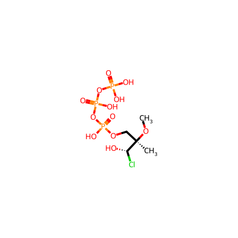 CO[C@](C)(COP(=O)(O)OP(=O)(O)OP(=O)(O)O)[C@@H](O)Cl